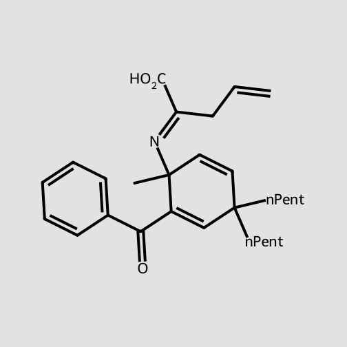 C=CCC(=NC1(C)C=CC(CCCCC)(CCCCC)C=C1C(=O)c1ccccc1)C(=O)O